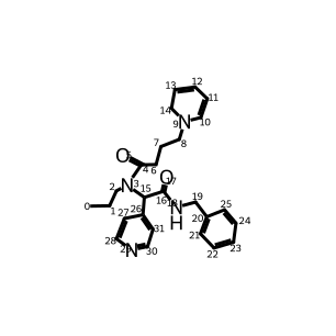 CCCN(C(=O)CCCN1C=CC=CC1)C(C(=O)NCc1ccccc1)c1ccncc1